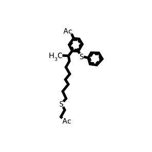 CC(=O)CCSCCCCCCCC(C)c1cc(C(C)=O)ccc1Sc1ccccc1